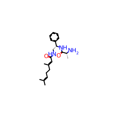 CC(C)=CCC/C(C)=C/C(=O)NC[C@@H](NC(=O)[C@@H](C)N)c1ccccc1